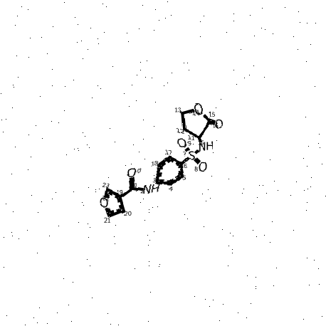 O=C(Nc1ccc(S(=O)(=O)NC2CCOC2=O)cc1)c1ccoc1